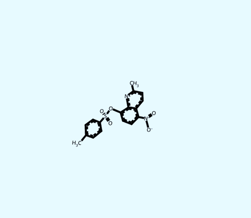 Cc1ccc(S(=O)(=O)Oc2ccc([N+](=O)[O-])c3ccc(C)nc23)cc1